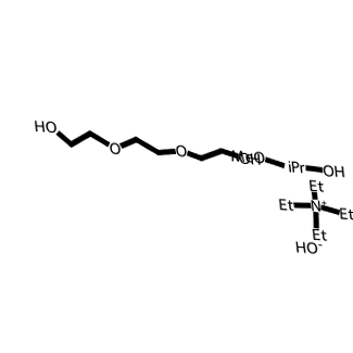 CC(C)O.CC[N+](CC)(CC)CC.COC.OCCOCCOCCO.[OH-]